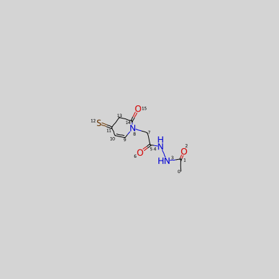 CC(=O)NNC(=O)CN1C=CC(=S)CC1=O